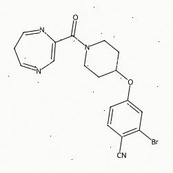 N#Cc1ccc(OC2CCN(C(=O)C3=CN=CCC=N3)CC2)cc1Br